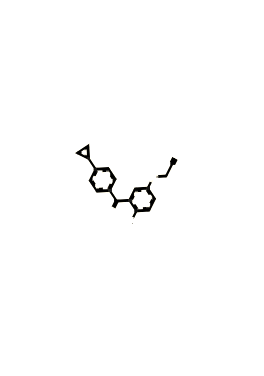 C#CCOc1ccc([N+](=O)[O-])c(C(=O)c2ccc(C3CC3)cc2)c1